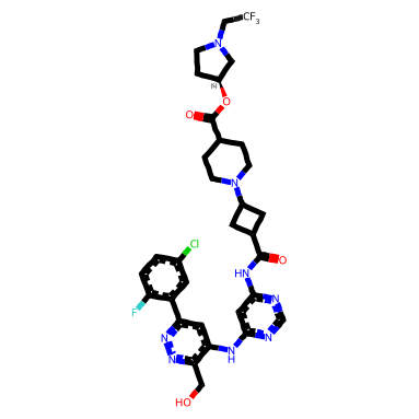 O=C(Nc1cc(Nc2cc(-c3cc(Cl)ccc3F)nnc2CO)ncn1)C1CC(N2CCC(C(=O)O[C@H]3CCN(CC(F)(F)F)C3)CC2)C1